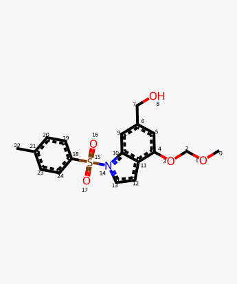 COCOc1cc(CO)cc2c1ccn2S(=O)(=O)c1ccc(C)cc1